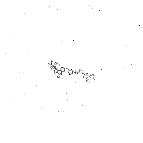 CCOCc1nc2c(N)nc3cc(Cc4cccc(CNC(=O)CNC(=O)OC(C)(C)C)c4)ccc3c2n1CC(C)(C)O